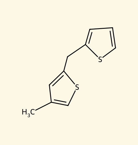 Cc1csc(Cc2cccs2)c1